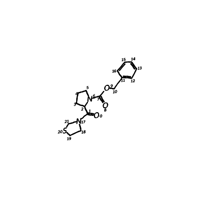 O=C(C1CCCN1C(=O)OCc1ccccc1)N1CCSC1